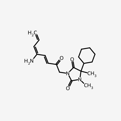 C=C/C=C(N)\C=C\C(=O)CN1C(=O)N(C)C(C)(C2CCCCC2)C1=O